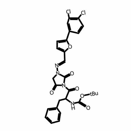 CC(C)(C)OC(=O)NC(Cc1ccccc1)C(=O)N1C(=O)CN(N=Cc2ccc(-c3ccc(Cl)c(Cl)c3)o2)C1=O